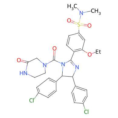 CCOc1cc(S(=O)(=O)N(C)C)ccc1C1=NC(c2ccc(Cl)cc2)C(c2ccc(Cl)cc2)N1C(=O)N1CCNC(=O)C1